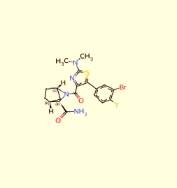 CN(C)c1nc(C(=O)N2[C@H]3CC[C@H](C3)[C@@H]2C(N)=O)c(-c2ccc(F)c(Br)c2)s1